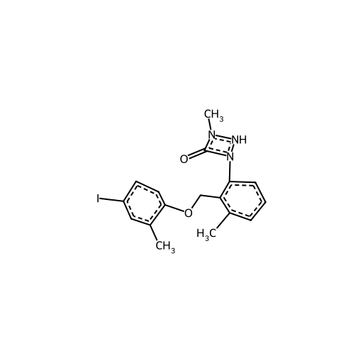 Cc1cc(I)ccc1OCc1c(C)cccc1-n1[nH]n(C)c1=O